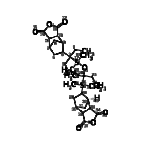 CCC(CC)(C1CC2CC1C1C(=O)OC(=O)C21)[Si](C)(C)OC(C)(CC)[Si](C)(C)C1CC2C[C@@H]1C1C(=O)OC(=O)C21